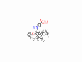 CC(C)(C)C1=CCC(C)(C)c2cc(OCc3ccccc3)c(CCNc3ccc(C(=O)O)cc3)cc21